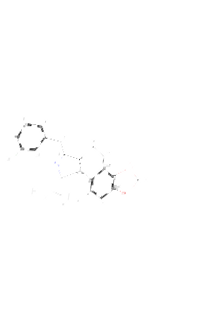 CS(=O)(=O)O.Fc1cccc(CC2NCC3c4ccc5c(c4CCC23)OCO5)c1